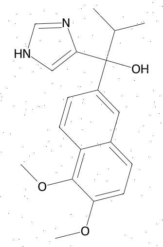 COc1ccc2cc(C(O)(c3c[nH]cn3)C(C)C)ccc2c1OC